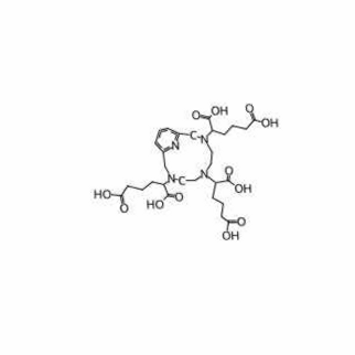 O=C(O)CCCC(C(=O)O)N1CCN(C(CCCC(=O)O)C(=O)O)Cc2cccc(n2)CN(C(CCCC(=O)O)C(=O)O)CC1